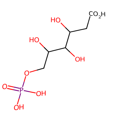 O=C(O)CC(O)C(O)C(O)COP(=O)(O)O